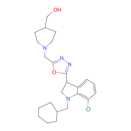 OCC1CCN(Cc2nnc(C3CN(CC4CCCCC4)c4c(Cl)cccc43)o2)CC1